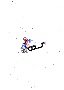 CC(C)(C)[Si](C)(C)OC(c1ncc(C(N)=O)o1)C1CCc2cc(/C=C/C=C\C=C/I)ccc2C1